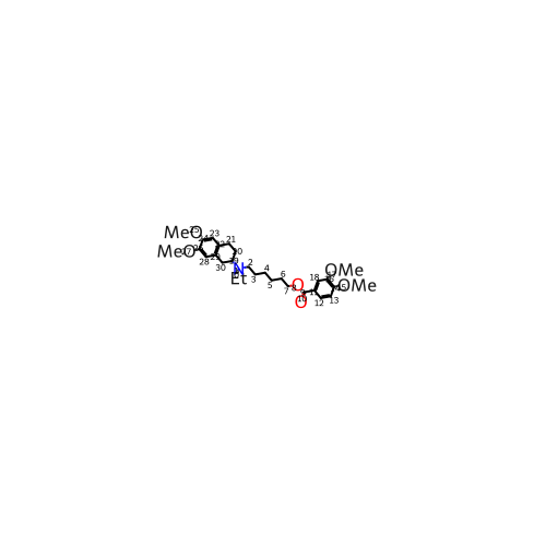 CCN(CCCCCCOC(=O)c1ccc(OC)c(OC)c1)C1CCc2cc(OC)c(OC)cc2C1